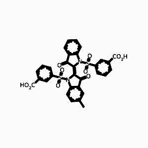 Cc1ccc2c(c1)C(=O)/C(=C1/C(=O)c3ccccc3N1S(=O)(=O)c1cccc(C(=O)O)c1)N2S(=O)(=O)c1cccc(C(=O)O)c1